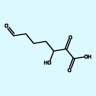 O=CCCCC(O)C(=O)C(=O)O